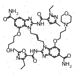 CCc1nc(C)oc1C(=O)Nc1nc2cc(C(N)=O)cc(OCCCN3CCOCC3)c2n1CC=CCn1c(NC(=O)c2cc(C)nn2CC)nc2cc(C(N)=O)cc(OCCCO)c21